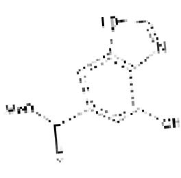 COC(=O)c1cc(O)c2c(c1)BC=N2